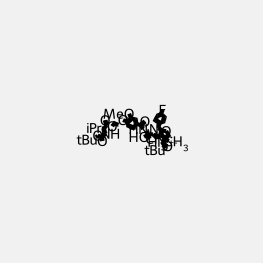 COc1cc(C(=O)NCC(O)(c2cc3c(c(-c4ccc(F)cc4)n2)OCC3(C)N[S+]([O-])C(C)(C)C)C(F)(F)F)ccc1OCCOC(=O)C(NC(=O)OC(C)(C)C)C(C)C